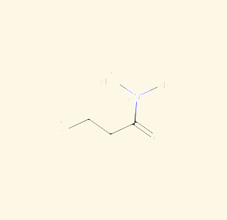 C=C(CCC(C)(C)C)N(C)C(C)(C)C